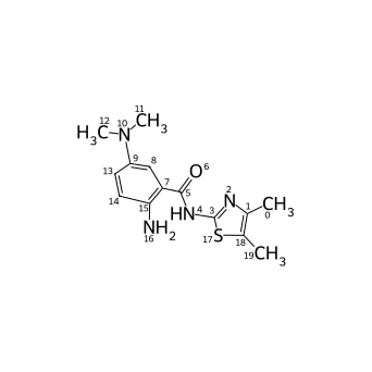 Cc1nc(NC(=O)c2cc(N(C)C)ccc2N)sc1C